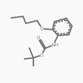 CCCCOc1ccccc1NC(=O)OC(C)(C)C